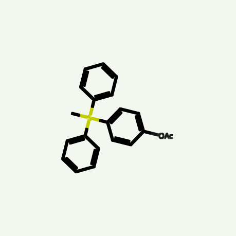 CC(=O)Oc1ccc(S(C)(c2ccccc2)c2ccccc2)cc1